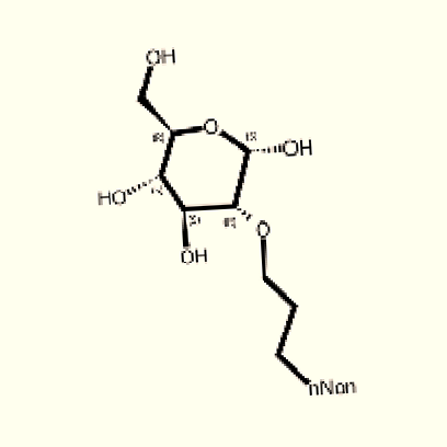 CCCCCCCCCCCCO[C@@H]1[C@@H](O)[C@H](O)[C@@H](CO)O[C@@H]1O